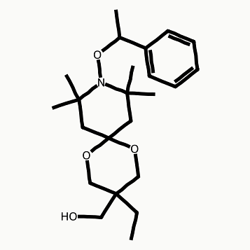 CCC1(CO)COC2(CC(C)(C)N(OC(C)c3ccccc3)C(C)(C)C2)OC1